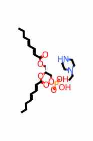 CCCC=CC=CC(=O)OC[C@H](COP(=O)(O)O)OC(=O)C=CC=CCCC.CCN1CCNCC1